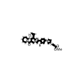 COC(=O)C#[Si]C1CCN(c2ccc(-c3cn4cc(C(=O)N5CCCCC[C@H]5C)cc(C5CC5)c4n3)c(F)c2)C1